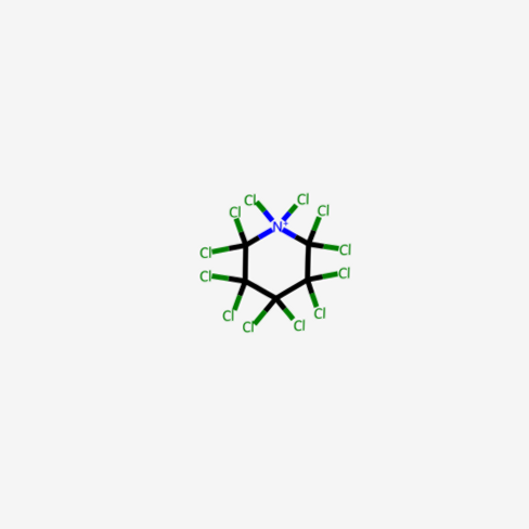 ClC1(Cl)C(Cl)(Cl)C(Cl)(Cl)[N+](Cl)(Cl)C(Cl)(Cl)C1(Cl)Cl